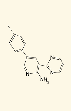 Cc1ccc(-c2cnc(N)c(-c3ncccn3)c2)cc1